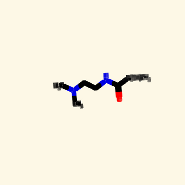 CN(C)CCNC(=O)N(C)O